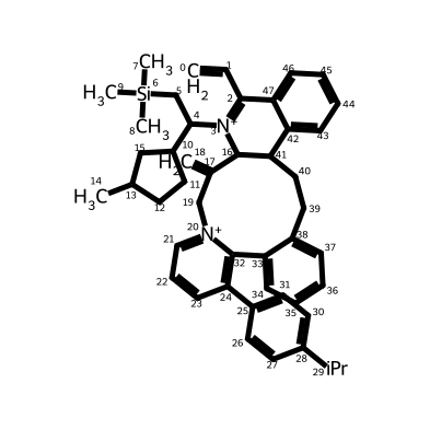 C=CC1=[N+](C(C[Si](C)(C)C)C2CCC(C)C2)C2C(=C)C[n+]3cccc(-c4ccc(C(C)C)cc4)c3-c3ccccc3CCC2c2ccccc21